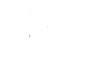 CC1=CC(C(C)(C)C)CC(C)=C1N(C1=CC=C(C(C)(C)C)CC1)C1CC(Cl)C[C@@](C)(C(C)C)C1